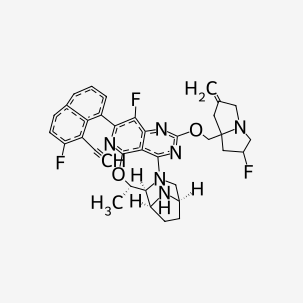 C#Cc1c(F)ccc2cccc(-c3nc4c5c(nc(OCC67CC(=C)CN6CC(F)C7)nc5c3F)N3C[C@H]5CC[C@H](N5)[C@H]3[C@H](C)O4)c12